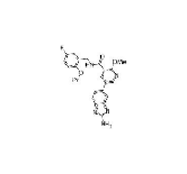 COc1ncc(-c2ccn3nc(N)nc3c2)cc1C(=O)NCc1cc(F)ccc1OC(C)C